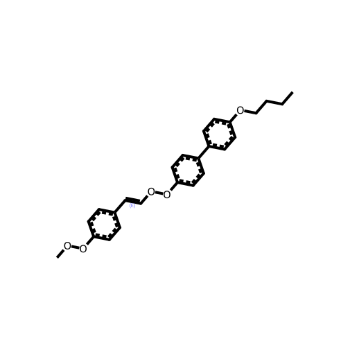 CCCCOc1ccc(-c2ccc(OO/C=C/c3ccc(OOC)cc3)cc2)cc1